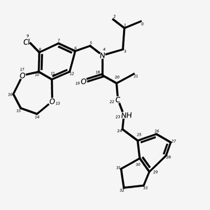 CC(C)CN(Cc1cc(Cl)c2c(c1)OCCCO2)C(=O)C(C)CNCc1cccc2c1CCC2